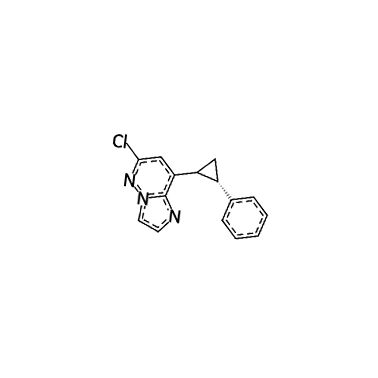 Clc1cc(C2C[C@@H]2c2ccccc2)c2nccn2n1